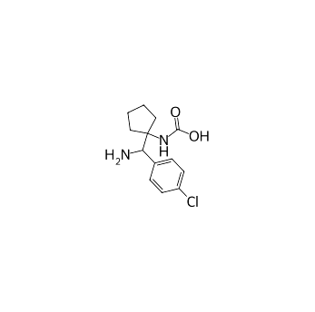 NC(c1ccc(Cl)cc1)C1(NC(=O)O)CCCC1